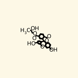 CC(O)COC(=O)c1ccc2c(c1)C1(OC2=O)c2ccc(O)cc2Oc2cc(O)ccc21